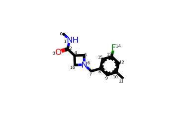 CNC(=O)C1CN(Cc2cc(C)cc(F)c2)C1